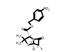 CC1(C)S[C@@H]2[C@@H](I)C(=O)N2[C@H]1C(=O)OCc1ccc([N+](=O)[O-])cc1